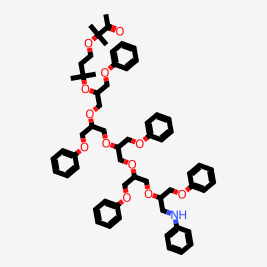 CC(=O)C(C)(C)OCCC(C)(C)OC(COc1ccccc1)COC(COc1ccccc1)COC(COc1ccccc1)COC(COc1ccccc1)COC(CNc1ccccc1)COc1ccccc1